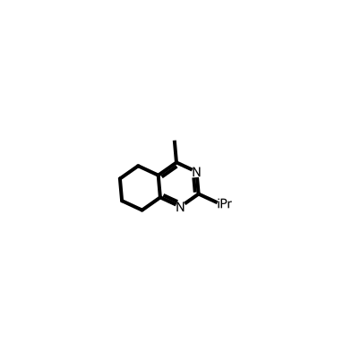 Cc1nc(C(C)C)nc2c1CCCC2